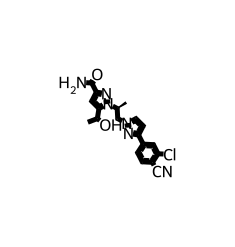 CC(O)c1cc(C(N)=O)nn1[C@@H](C)Cn1ccc(-c2ccc(C#N)c(Cl)c2)n1